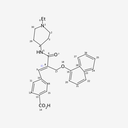 CCN1CCC(NC(=O)/C(=C/c2ccc(C(=O)O)cc2)COc2cccc3ccccc23)CC1